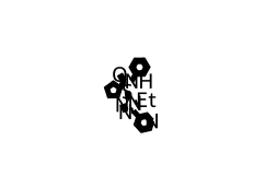 CCn1c(SC2(C(=O)Nc3ccccc3)CCCC2)nnc1-c1cccnc1